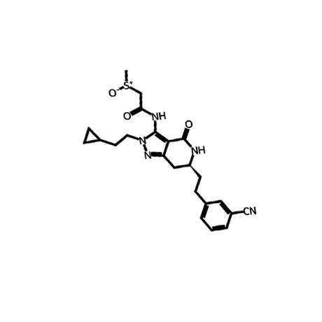 C[S+]([O-])CC(=O)Nc1c2c(nn1CCC1CC1)C[C@H](CCc1cccc(C#N)c1)NC2=O